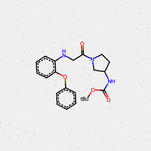 CC(C)(C)OC(=O)NC1CCN(C(=O)CNc2ccccc2Oc2ccccc2)C1